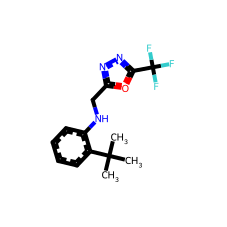 CC(C)(C)c1ccccc1NCc1nnc(C(F)(F)F)o1